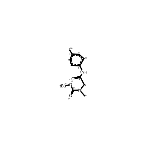 CN(CC(=O)Nc1ccc(I)cc1)C(=O)OC(C)(C)C